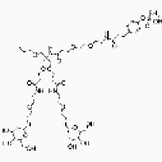 BP(=O)(O)Oc1ccc(CCC(=O)NCCOCCOCCC(=O)NC(COCCC)(COCCC(=O)NCCOCCOC2CC(O)C(O)C(CO)O2)COCCC(=O)NCCOCCOC2CC(O)C(O)C(CO)O2)cc1